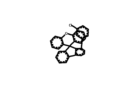 Clc1cccc(-c2cccc3c2C2(c4ccccc4Oc4ccccc42)c2ccccc2-3)c1